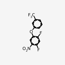 O=[N+]([O-])c1cc(Oc2cccc(C(F)(F)F)c2)c(F)cc1F